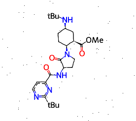 COC(=O)[C@@H]1C[C@H](NC(C)(C)C)CC[C@@H]1N1CCC(NC(=O)c2ccnc(C(C)(C)C)n2)C1=O